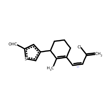 C=C(Cl)/C=C\C1=C(C)C(c2csc(C=O)c2)CCC1